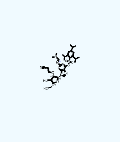 CC(C)c1cc(C(C)C)c(S(=O)(=O)Oc2nc(/N=C/N(C)C)nc3c2ncn3[C@@H]2O[C@H](CO)C(O)[C@@H]2OCCC#N)c(C(C)C)c1